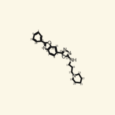 c1ccc(-c2nc3ccc(-c4nnc(NCCCN5CCCCC5)o4)cc3o2)cc1